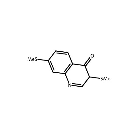 CSc1ccc2c(c1)N=CC(SC)C2=O